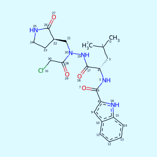 CC(C)C[C@H](NC(=O)c1cc2ccccc2[nH]1)C(=O)NN(C[C@H]1CCNC1=O)C(=O)CCl